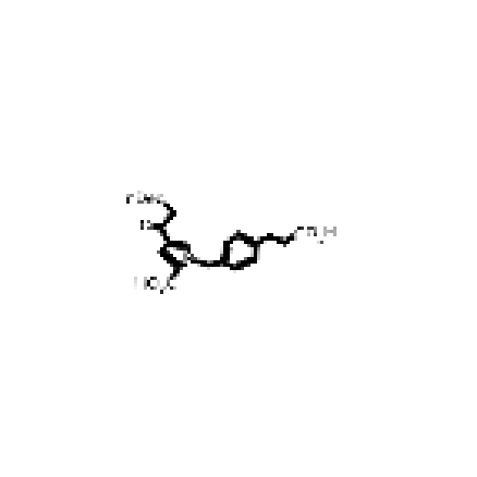 CCCCCCCCCCCC(=O)c1cc(C(=O)O)n(Cc2ccc(CCC(=O)O)cc2)c1